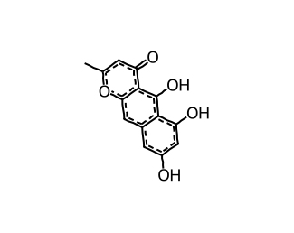 Cc1cc(=O)c2c(O)c3c(O)cc(O)cc3cc2o1